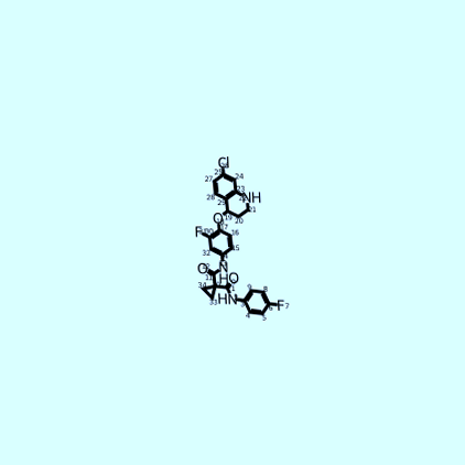 O=C(Nc1ccc(F)cc1)C1(C(=O)Nc2ccc(OC3CCNc4cc(Cl)ccc43)c(F)c2)CC1